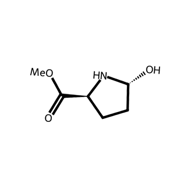 COC(=O)[C@@H]1CC[C@@H](O)N1